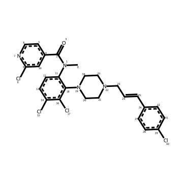 CN(C(=O)c1ccnc(Cl)c1)c1ccc(Cl)c(Cl)c1N1CCN(CC=Cc2ccc(Cl)cc2)CC1